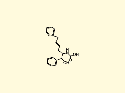 O=C(O)N[C@H](CC=CCc1ccccc1)[C@@H](O)c1ccccc1